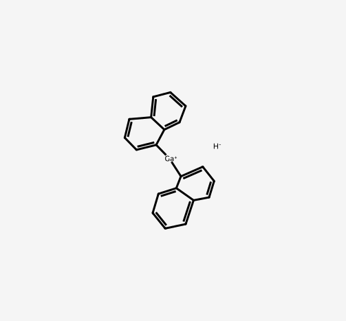 [H-].c1ccc2[c]([Ga+][c]3cccc4ccccc34)cccc2c1